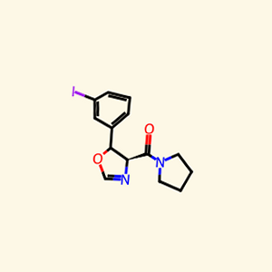 O=C([C@H]1N=COC1c1cccc(I)c1)N1CCCC1